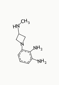 CNC1CN(c2cccc(N)c2N)C1